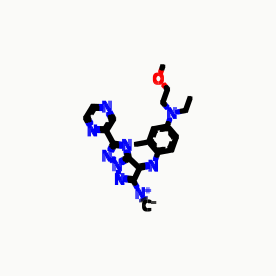 [C-]#[N+]C1=Nn2nc(-c3cnccn3)nc2/C1=N\c1ccc(N(CC)CCOC)cc1C